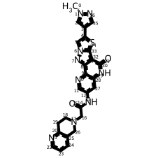 Cn1cc(-c2cn3nc4c5ncc(NC(=O)CN6CCc7ncccc7C6)cc5[nH]c(=O)c4c3s2)cn1